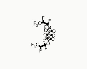 O=S(=O)(OC(F)(F)C(F)C(F)(F)F)S(=O)(=O)S(=O)(=O)OC(F)(F)C(F)C(F)(F)F